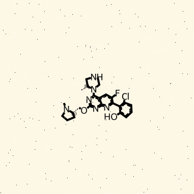 C[C@@H]1CNCCN1c1nc(OC[C@@H]2CCCN2C)nc2nc(-c3c(O)cccc3Cl)c(F)cc12